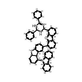 C1=CC2Sc3ccc(-c4cccc5c4oc4c(C6N=C(c7ccccc7)NC(c7ccccc7)N6)cccc45)cc3C2C(n2c3ccccc3c3ccccc32)=C1